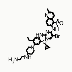 CCc1cc(Nc2ncc(Br)c(Nc3ccc4nc(C)ccc4c3P(C)(C)=O)n2)c(OC2CC2)cc1N1CCC(NCCN)CC1